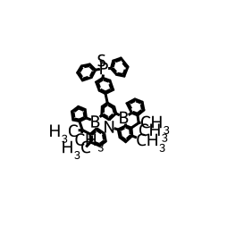 Cc1ccc2c3c1C(C)(C)c1ccccc1B3c1cc(-c3ccc(P(=S)(c4ccccc4)c4ccccc4)cc3)cc3c1N2c1ccc(C)c2c1B3c1ccccc1C2(C)C